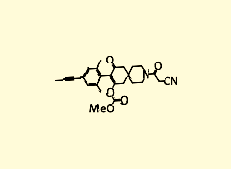 CC#Cc1cc(C)c(C2=C(OC(=O)OC)CC3(CCN(C(=O)CC#N)CC3)CC2=O)c(C)c1